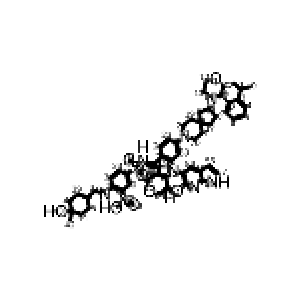 CC(C)c1ccccc1[C@@H]1COCCN1[C@@H]1CCC2(CCN(c3ccc(C(=O)NS(=O)(=O)c4ccc(NCC5CCC(C)(O)CC5)c([N+](=O)[O-])c4)c(N4c5cc6cc[nH]c6nc5O[C@H]5COCC[C@@H]54)c3)CC2)C1